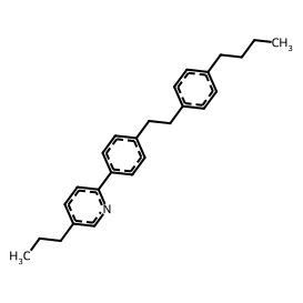 CCCCc1ccc(CCc2ccc(-c3ccc(CCC)cn3)cc2)cc1